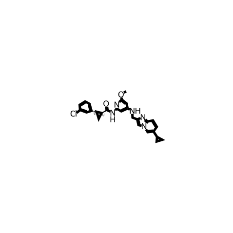 COc1cc(NCc2cn3cc(C4CC4)ccc3n2)cc(NC(=O)[C@H]2C[C@@H]2c2cccc(Cl)c2)n1